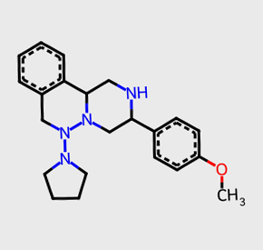 COc1ccc(C2CN3C(CN2)c2ccccc2CN3N2CCCC2)cc1